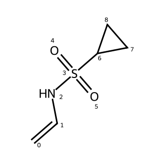 C=CNS(=O)(=O)C1CC1